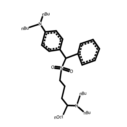 CCCCCCCCC(CCCS(=O)(=O)C(c1ccccc1)c1ccc(N(CCCC)CCCC)cc1)N(CCCC)CCCC